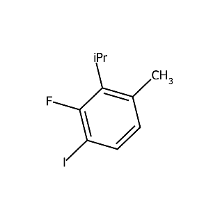 Cc1ccc(I)c(F)c1C(C)C